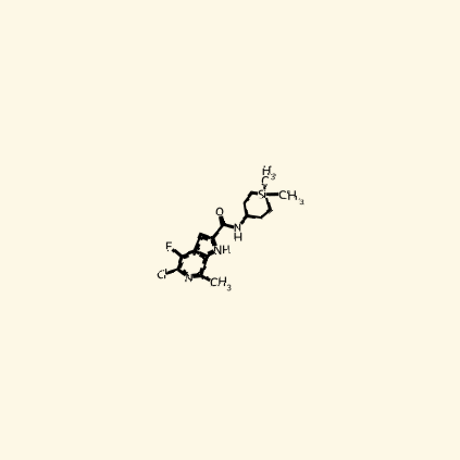 Cc1nc(Cl)c(F)c2cc(C(=O)NC3CC[Si](C)(C)CC3)[nH]c12